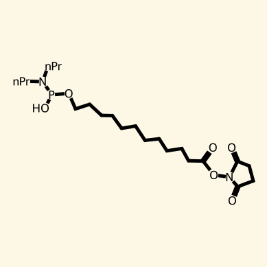 CCCN(CCC)P(O)OCCCCCCCCCCCC(=O)ON1C(=O)CCC1=O